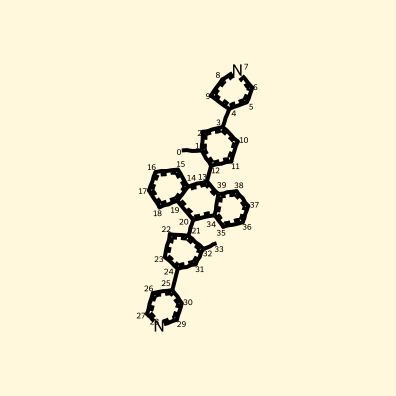 Cc1cc(-c2ccncc2)ccc1-c1c2ccccc2c(-c2ccc(-c3ccncc3)cc2C)c2ccccc12